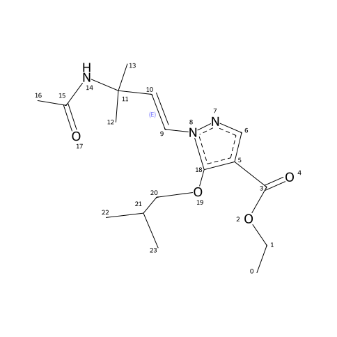 CCOC(=O)c1cnn(/C=C/C(C)(C)NC(C)=O)c1OCC(C)C